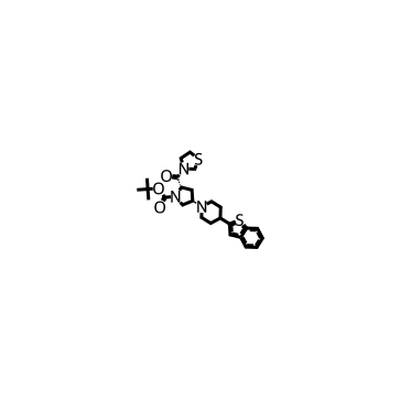 CC(C)(C)OC(=O)N1C[C@@H](N2CCC(c3cc4ccccc4s3)CC2)C[C@H]1C(=O)N1CCSC1